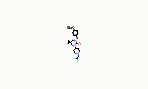 CC(C)COc1ccc(CN2CC3(CC3)CN(C3CCN(CC(F)F)CC3)C2=O)cc1